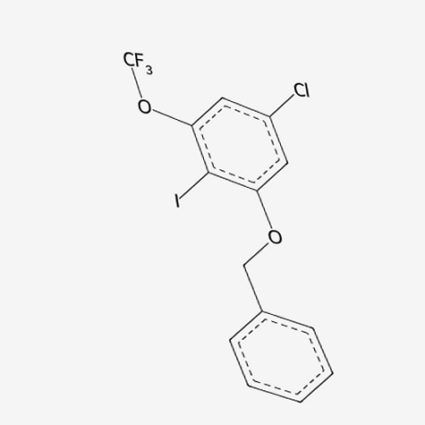 FC(F)(F)Oc1cc(Cl)cc(OCc2ccccc2)c1I